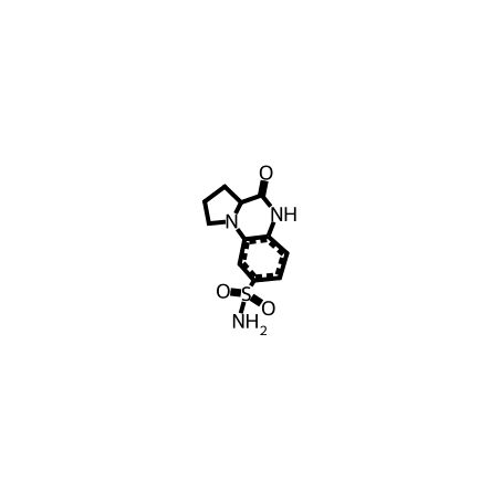 NS(=O)(=O)c1ccc2c(c1)N1CCCC1C(=O)N2